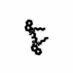 CCCCCN1/C(=C/C(C)=C/c2sc3ccc4ccccc4c3[n+]2CCCCC)Sc2ccc3ccccc3c21